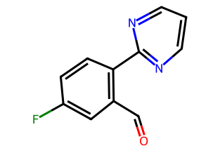 O=Cc1cc(F)ccc1-c1ncccn1